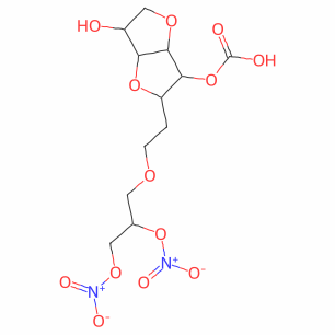 O=C(O)OC1C(CCOCC(CO[N+](=O)[O-])O[N+](=O)[O-])OC2C(O)COC21